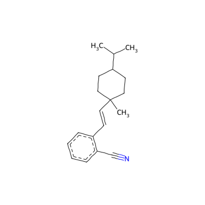 CC(C)C1CCC(C)(/C=C/c2ccccc2C#N)CC1